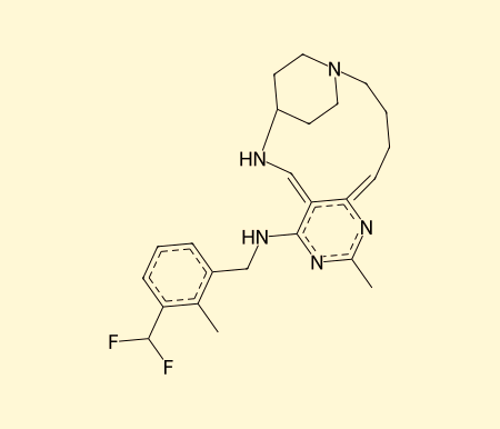 Cc1nc(NCc2cccc(C(F)F)c2C)c2/c(n1)=C\CCCN1CCC(CC1)N/C=2